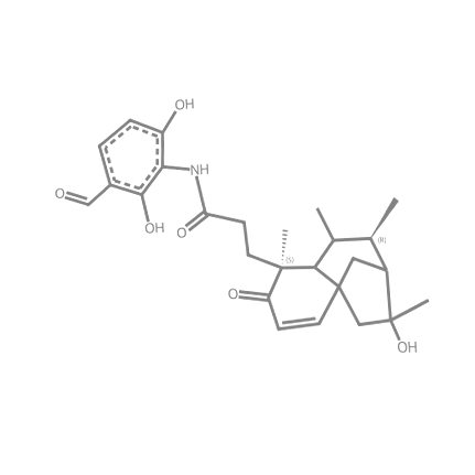 CC1C2C3(C=CC(=O)[C@@]2(C)CCC(=O)Nc2c(O)ccc(C=O)c2O)CC([C@@H]1C)C(C)(O)C3